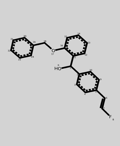 OC(c1ccc(C=CF)cc1)c1ccccc1OCc1ccccc1